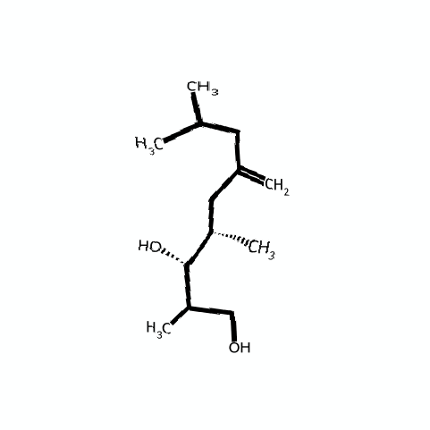 C=C(CC(C)C)C[C@H](C)[C@@H](O)C(C)CO